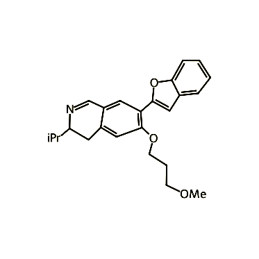 COCCCOc1cc2c(cc1-c1cc3ccccc3o1)C=NC(C(C)C)C2